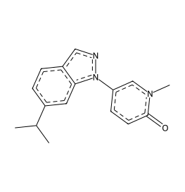 CC(C)c1ccc2cnn(-c3ccc(=O)n(C)c3)c2c1